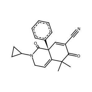 CC1(C)C(=O)C(C#N)=C[C@@]2(c3ccccc3)C(=O)N(C3CC3)CC=C12